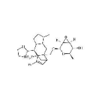 CC(C)C1=CC2CC3(C4OCCO4)C4CCC(C)C4CC2(CO[C@@H]2O[C@H](C)[C@@H](O)[C@@H]4O[C@H]24)C13C(=O)O